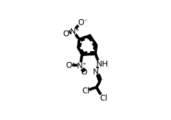 O=[N+]([O-])c1ccc(NN=CC(Cl)Cl)c([N+](=O)[O-])c1